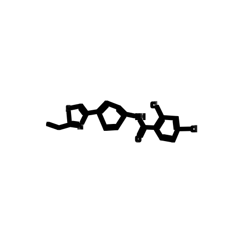 CCc1nc(-c2ccc(NC(=O)c3ccc(Cl)cc3Cl)cc2)cs1